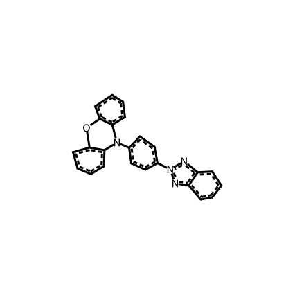 c1ccc2c(c1)Oc1ccccc1N2c1ccc(-n2nc3ccccc3n2)cc1